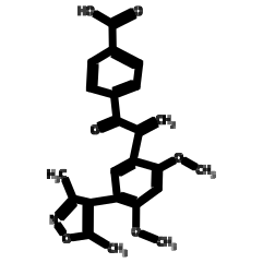 C=C(C(=O)c1ccc(C(=O)O)cc1)c1cc(-c2c(C)noc2C)c(OC)cc1OC